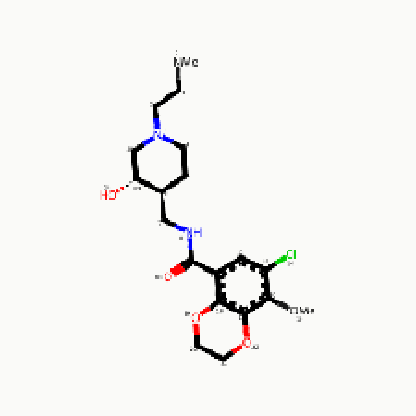 CNCCN1CC[C@@H](CNC(=O)c2cc(Cl)c(OC)c3c2OCCO3)[C@H](O)C1